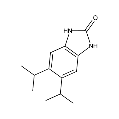 CC(C)c1cc2[nH]c(=O)[nH]c2cc1C(C)C